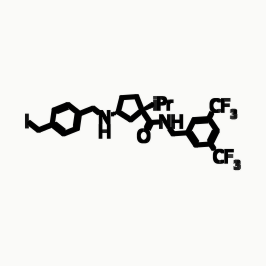 CC(C)[C@]1(C(=O)NCc2cc(C(F)(F)F)cc(C(F)(F)F)c2)CC[C@@H](NCc2ccc(CI)cc2)C1